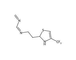 C=N/C=N\CCC1NC(C(F)(F)F)=CS1